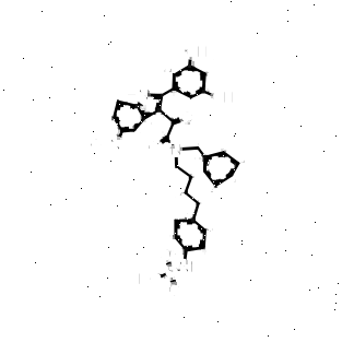 Cc1cc(C)cc(-c2[nH]c3ccc([N+](=O)[O-])cc3c2C(=O)C(=O)N(CCCCc2ccc(NS(C)(=O)=O)cc2)Cc2ccccc2)c1